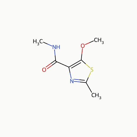 CNC(=O)c1nc(C)sc1OC